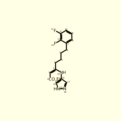 CCOC(=O)C=C(CCCCc1cccc(F)c1F)Nc1cn[nH]c1